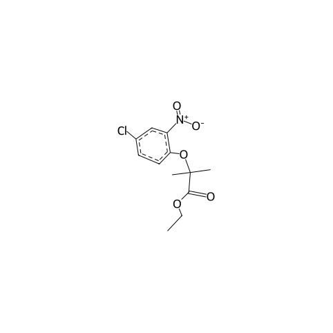 CCOC(=O)C(C)(C)Oc1ccc(Cl)cc1[N+](=O)[O-]